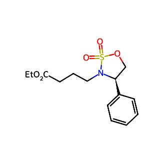 CCOC(=O)CCCN1[C@H](c2ccccc2)COS1(=O)=O